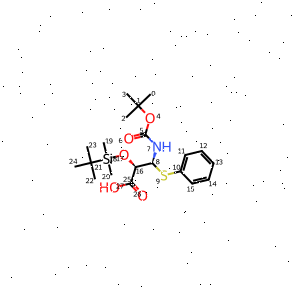 CC(C)(C)OC(=O)N[C@@H](Sc1ccccc1)[C@H](O[Si](C)(C)C(C)(C)C)C(=O)O